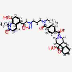 CCN(CCCNCC(O)c1ccc(O)c(NC)c1/C=C\C=O)C(=O)c1ccc(C(=O)N2CCC(C(=O)O)(c3ccccc3)CC2)cc1